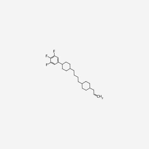 C=CCC1CCC(CCCCC2CCC(c3cc(F)c(F)c(F)c3)CC2)CC1